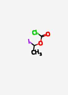 CC(I)OC(=O)Cl